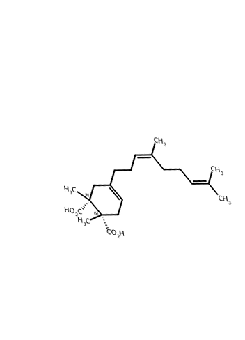 CC(C)=CCCC(C)=CCCC1=CC[C@](C)(C(=O)O)[C@](C)(C(=O)O)C1